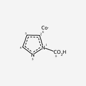 O=C(O)n1[c]ccn1.[Co]